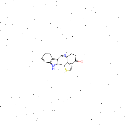 O=C1CCC23C=NC=C2c2c([nH]c4c2CCC=C4)C2SC=CC23C1